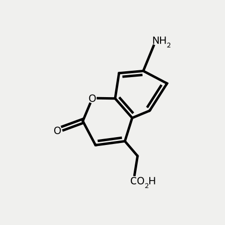 Nc1ccc2c(CC(=O)O)cc(=O)oc2c1